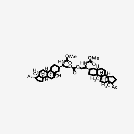 COC(=O)NC(COC(=O)OCC(NC(=O)OC)[C@@H]1CC[C@@]2(C)[C@@H](CC[C@@H]3[C@@H]2CC[C@]2(C)[C@@H](C(C)=O)CC[C@@H]32)C1)[C@@H]1CC[C@@]2(C)[C@@H](CC[C@@H]3[C@@H]2CC[C@]2(C)[C@@H](C(C)=O)CC[C@@H]32)C1